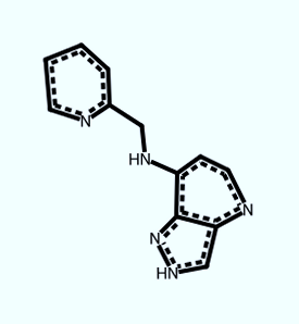 c1ccc(CNc2ccnc3c[nH]nc23)nc1